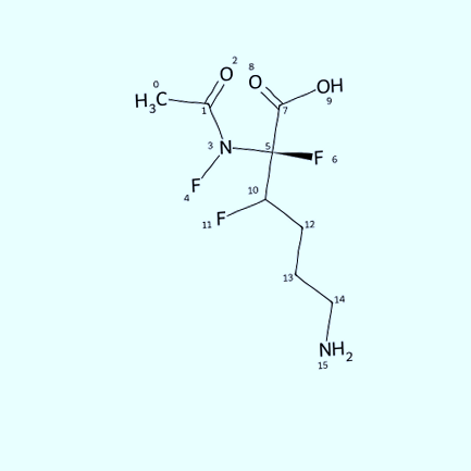 CC(=O)N(F)[C@](F)(C(=O)O)C(F)CCCN